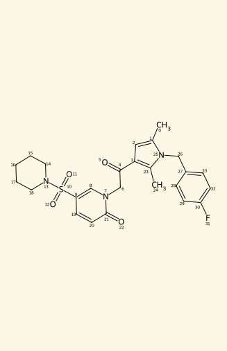 Cc1cc(C(=O)Cn2cc(S(=O)(=O)N3CCCCC3)ccc2=O)c(C)n1Cc1ccc(F)cc1